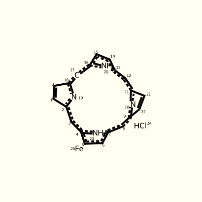 C1=Cc2cc3ccc(cc4nc(cc5ccc(cc1n2)[nH]5)C=C4)[nH]3.Cl.[Fe]